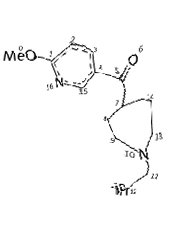 COc1ccc(C(=O)C2CCN(C[C](C)C)CC2)cn1